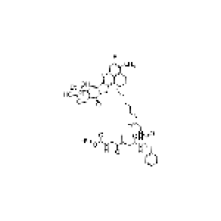 CC[C@]1(O)c2cc3n(c(=O)c2COC1O)Cc1c-3nc2cc(F)c(C)c3c2c1[C@@H](NCCCCNC(=O)CNC(=O)[C@H](Cc1ccccc1)NC(=O)CNC(=O)CNC(=O)OC(C)(C)C)CC3